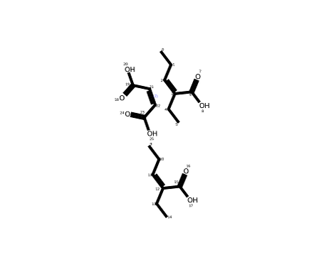 CCC=C(CC)C(=O)O.CCC=C(CC)C(=O)O.O=C(O)/C=C\C(=O)O